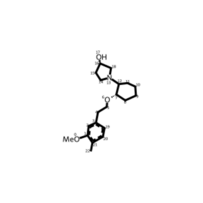 COc1cc(CCO[C@H]2CCCCC2N2CC[C@@H](O)C2)ccc1C